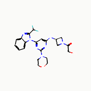 O=C(CO)N1CC(Nc2cc(-n3c(C(F)F)nc4ccccc43)nc(N3CCOCC3)n2)C1